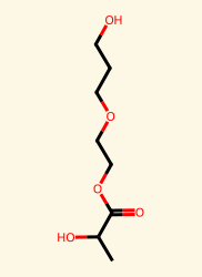 CC(O)C(=O)OCCOCCCO